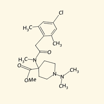 COC(=O)C1(N(C)C(=O)Cc2c(C)cc(Cl)cc2C)CCN(N(C)C)CC1